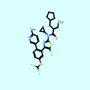 COc1ccc(-c2ccc(OC(F)F)cc2-c2nc(N(C(=O)C(CC(=O)O)CC3CCCC3)C3CC3)sc2F)cn1